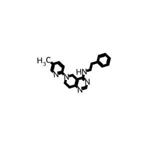 Cc1ccc(N2CCc3ncnc(NCCc4ccccc4)c3C2)nc1